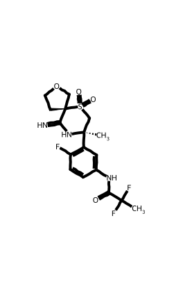 CC(F)(F)C(=O)Nc1ccc(F)c([C@]2(C)CS(=O)(=O)[C@]3(CCOC3)C(=N)N2)c1